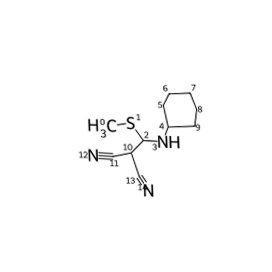 CSC(NC1CCCCC1)C(C#N)C#N